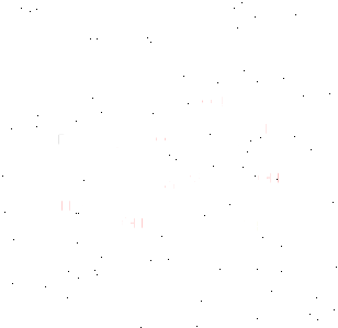 CCC1OC(OC2OC(CS)C(O)C(O)C2O)C(O)C(O)C1O